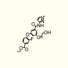 CCOC(=O)c1ccc(Oc2cc(O[C@@H](C)CO)cc(C(=O)Nc3ccn(C)n3)c2)c(F)c1